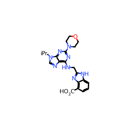 CC(C)n1cnc2c(NCc3nc4c(C(=O)O)cccc4[nH]3)nc(N3CCOCC3)nc21